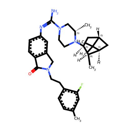 Cc1ccc(CCN2Cc3cc(N=C(N)N4CCN([C@H]5C[C@@H]6C[C@@H]([C@H]5C)C6(C)C)[C@@H](C)C4)ccc3C2=O)c(F)c1